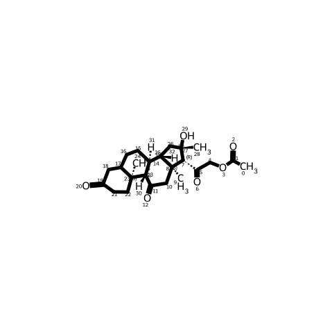 CC(=O)OCC(=O)[C@@H]1[C@@]2(C)CC(=O)[C@H]3[C@@H](CCC4CC(=O)CC[C@@]43C)[C@@H]2C[C@]1(C)O